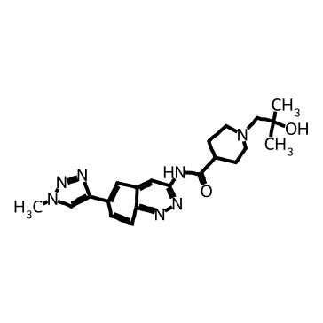 Cn1cc(-c2ccc3nnc(NC(=O)C4CCN(CC(C)(C)O)CC4)cc3c2)nn1